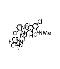 CNC(=O)c1cc(Cl)cc(Cl)c1NC(=O)c1cc(Cn2ncc(C(F)(C(F)(F)F)C(F)(F)F)n2)nn1-c1ncccc1Cl